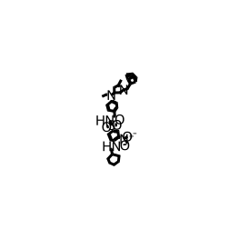 CCN(c1ccc(C(=O)NS(=O)(=O)c2ccc(NCC3CCCCC3)c([N+](=O)[O-])c2)cc1)C1CC(C)N(CC2=C3C4CC=C2C3C4)C1